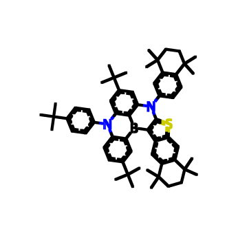 CC(C)(C)c1ccc(N2c3ccc(C(C)(C)C)cc3B3c4c2cc(C(C)(C)C)cc4N(c2ccc4c(c2)C(C)(C)CCC4(C)C)c2sc4cc5c(cc4c23)C(C)(C)CCC5(C)C)cc1